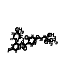 CN1CCN(c2cc(F)ccc2NC(=O)c2cnc(OCCS(C)(C)C)cc2C(F)(F)F)CC1